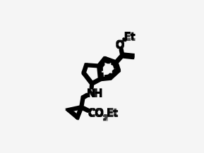 C=C(OCC)c1ccc2c(c1)CCC2NCC1(C(=O)OCC)CC1